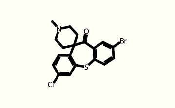 CN1CCC2(CC1)C(=O)c1cc(Br)ccc1Sc1cc(Cl)ccc12